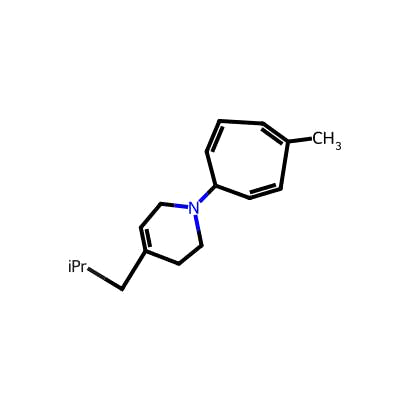 CC1=CC=CC(N2CC=C(CC(C)C)CC2)C=C1